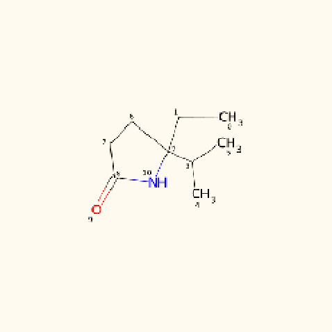 CCC1(C(C)C)CCC(=O)N1